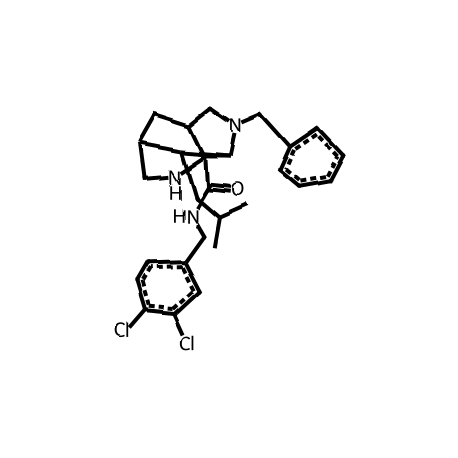 CC(C)CC1C2CNC3(C(=O)NCc4ccc(Cl)c(Cl)c4)C(C2)CN(Cc2ccccc2)C13